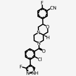 N#Cc1cc(C2CN3CCN(C(=O)c4cccc(-c5c[nH]nc5F)c4Cl)C[C@H]3CO2)ccc1F